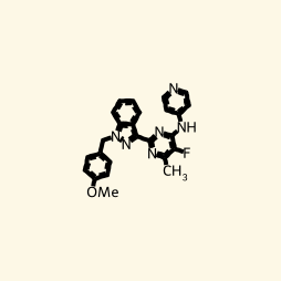 COc1ccc(Cn2nc(-c3nc(C)c(F)c(Nc4ccncc4)n3)c3ccccc32)cc1